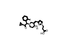 O=C(O)CCn1ccc(C=C2CN(C(C(=O)C3CC3)c3ccccc3F)CC[C@@H]2S)n1